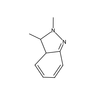 CC1C2C=CC=CC2=NN1C